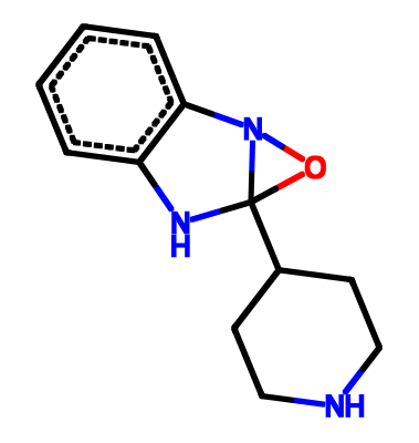 c1ccc2c(c1)NC1(C3CCNCC3)ON21